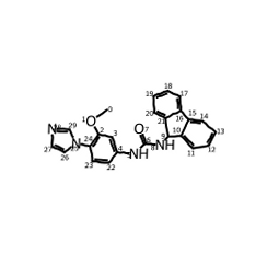 COc1cc(NC(=O)NC2c3ccccc3-c3ccccc32)ccc1-n1ccnc1